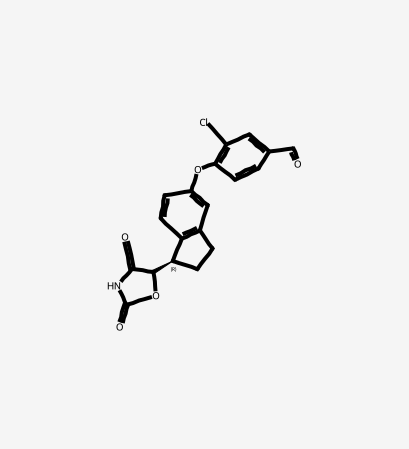 O=Cc1ccc(Oc2ccc3c(c2)CC[C@H]3C2OC(=O)NC2=O)c(Cl)c1